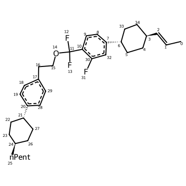 C/C=C/[C@H]1CC[C@H](c2ccc(C(F)(F)OCCc3ccc([C@H]4CC[C@H](CCCCC)CC4)cc3)c(F)c2)CC1